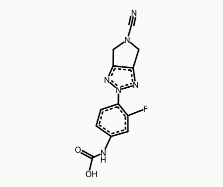 N#CN1Cc2nn(-c3ccc(NC(=O)O)cc3F)nc2C1